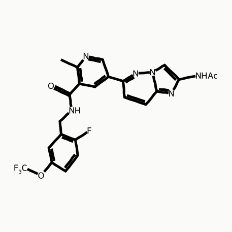 CC(=O)Nc1cn2nc(-c3cnc(C)c(C(=O)NCc4cc(OC(F)(F)F)ccc4F)c3)ccc2n1